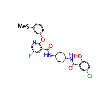 CSc1cccc(Oc2ncc(F)cc2C(=O)NC2CCC(NC(=O)c3cc(Cl)ccc3O)CC2)c1